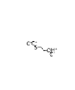 [CH2-][CH+]SCC[OH+][CH2-]